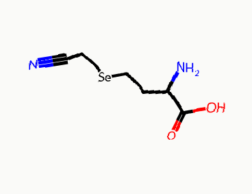 N#CC[Se]CCC(N)C(=O)O